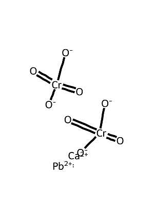 [Ca+2].[O]=[Cr](=[O])([O-])[O-].[O]=[Cr](=[O])([O-])[O-].[Pb+2]